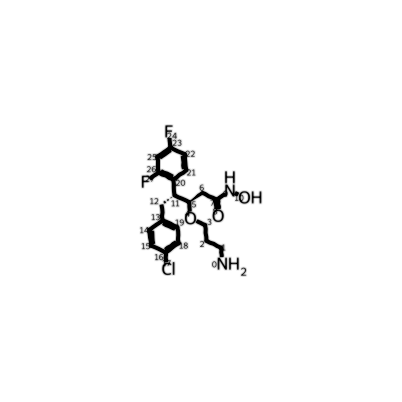 NCCCO[C@H](CC(=O)NO)[C@H](Cc1ccc(Cl)cc1)c1ccc(F)cc1F